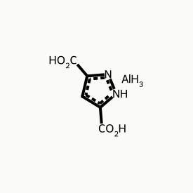 O=C(O)c1cc(C(=O)O)[nH]n1.[AlH3]